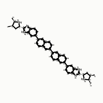 C[C@@H]1C[C@@H](c2nc3ccc(-c4ccc5cc(-c6ccc7cc(-c8ccc9nc([C@@H]%10C[C@@H](C)[C@@H](F)N%10)[nH]c9c8)ccc7c6)ccc5c4)cc3[nH]2)N[C@@H]1C